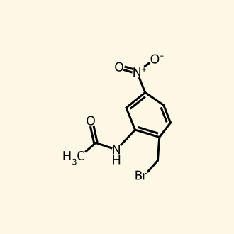 CC(=O)Nc1cc([N+](=O)[O-])ccc1CBr